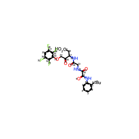 CC(C)(C)c1ccccc1NC(=O)C(=O)NCC(=O)NC(CC(=O)O)C(=O)COc1c(F)c(F)cc(F)c1F